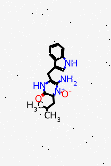 CC(C)Cc1c(=O)[nH]c(Cc2c[nH]c3ccccc23)c(N)[n+]1[O-]